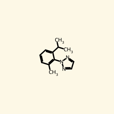 Cc1cccc(C(C)C)c1-n1nccn1